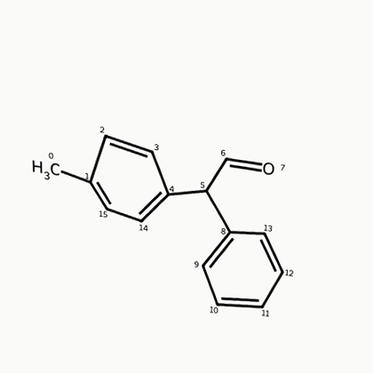 Cc1ccc(C(C=O)c2ccccc2)cc1